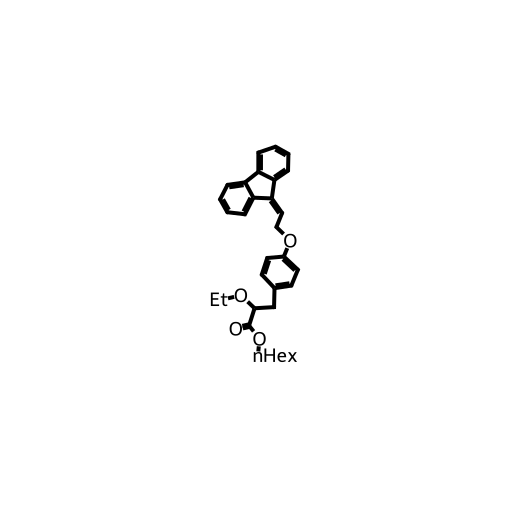 CCCCCCOC(=O)C(Cc1ccc(OCC=C2c3ccccc3-c3ccccc32)cc1)OCC